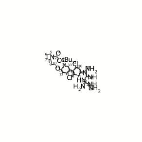 CC(C)(C)OC(=O)N1CCCC1CCOc1ccc(-c2c(Cl)cc(N(N)C(=N)NC(N)NN)cc2Cl)cc1